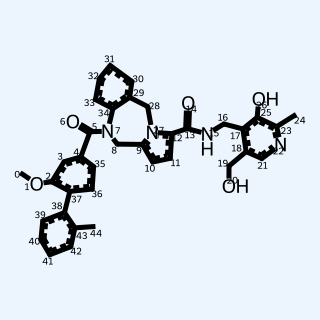 COc1cc(C(=O)N2Cc3ccc(C(=O)NCc4c(CO)cnc(C)c4O)n3Cc3ccccc32)ccc1-c1ccccc1C